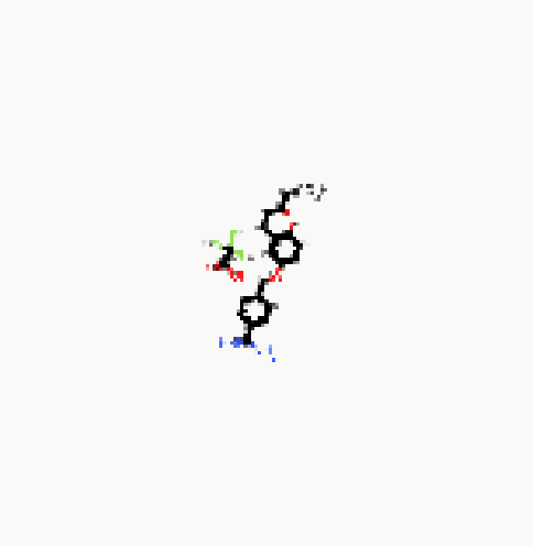 N=C(N)c1ccc(COc2ccc3c(c2)CCC(CC(=O)O)O3)cc1.O=C(O)C(F)(F)F